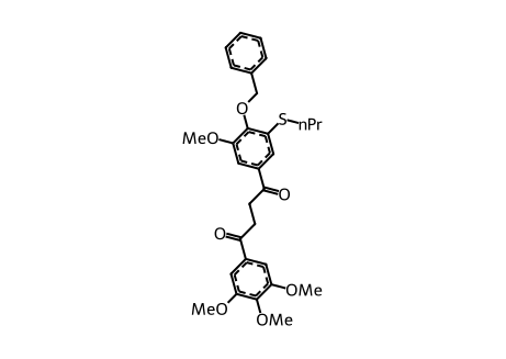 CCCSc1cc(C(=O)CCC(=O)c2cc(OC)c(OC)c(OC)c2)cc(OC)c1OCc1ccccc1